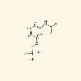 CC(C)Nc1cc(OCC(F)(F)F)ccn1